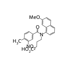 COc1ccc2cccc(N(CCCC(=O)O)C(=O)c3ccc(C)c([N+](=O)[O-])c3)c2c1